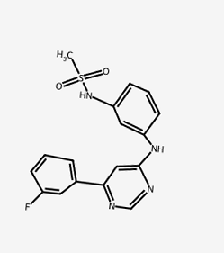 CS(=O)(=O)Nc1cccc(Nc2cc(-c3cccc(F)c3)ncn2)c1